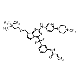 C=CC(=O)Nc1cccc(C(F)(F)c2nc(Nc3ccc(N4CCN(C)CC4)nc3)nc3c2ccn3COCC[Si](C)(C)C)c1